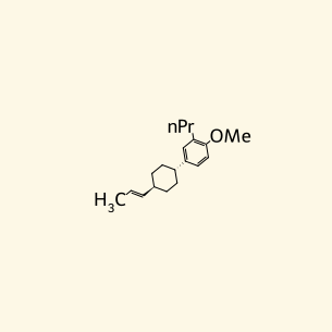 CC=C[C@H]1CC[C@H](c2ccc(OC)c(CCC)c2)CC1